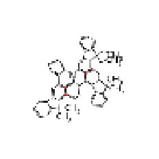 CCC1(CC)c2ccccc2-c2cc(N(c3ccccc3-c3ccc4c(c3)-c3ccccc3C4(C)C)c3ccccc3-c3cccc4c3-c3ccccc3C4(C)C)ccc21